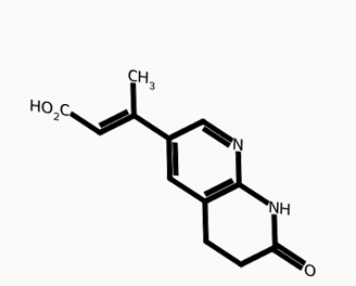 CC(=CC(=O)O)c1cnc2c(c1)CCC(=O)N2